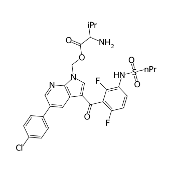 CCCS(=O)(=O)Nc1ccc(F)c(C(=O)c2cn(COC(=O)C(N)C(C)C)c3ncc(-c4ccc(Cl)cc4)cc23)c1F